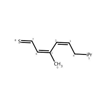 CC(/C=C\CC(C)C)=C/C=S